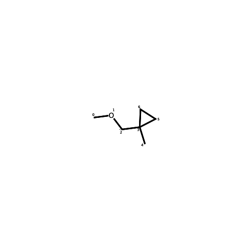 CO[CH]C1(C)CC1